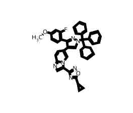 COc1ccc(-c2nn(C(c3ccccc3)(c3ccccc3)C3C=CC=CC3)cc2-c2ccc3ncc(-c4noc(C5CC5)n4)n3c2)c(F)c1